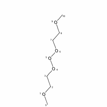 COCCOOOCCOC